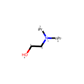 CC[CH]N(CCO)C(C)C